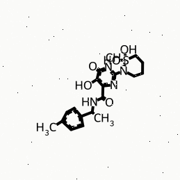 Cc1ccc(C(C)NC(=O)c2nc(N3CCCCS3(O)O)n(C)c(=O)c2O)cc1